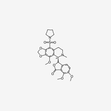 COc1ccc2c(c1OC)C(=O)OC2[C@H]1c2c(c(S(=O)(=O)N3CCCC3)c3c(c2OC)OCO3)CCN1C